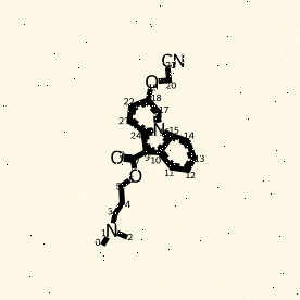 CN(C)CCCOC(=O)c1c2ccccc2n2cc(OCC#N)ccc12